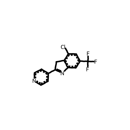 FC(F)(F)c1cc(Cl)c2c(c1)N=C(c1ccncc1)C2